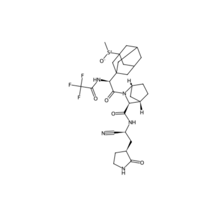 C[S+]([O-])C12CC3CC(CC([C@H](NC(=O)C(F)(F)F)C(=O)N4[C@@H]5CC[C@@H](C5)[C@H]4C(=O)N[C@H](C#N)C[C@@H]4CCNC4=O)(C3)C1)C2